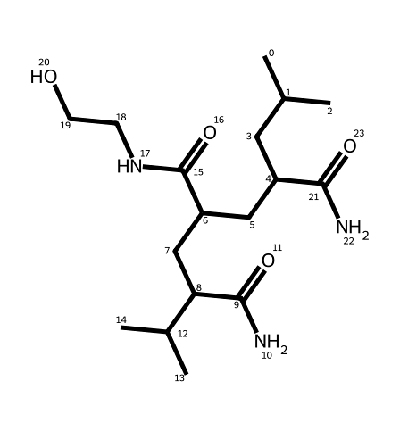 CC(C)CC(CC(CC(C(N)=O)C(C)C)C(=O)NCCO)C(N)=O